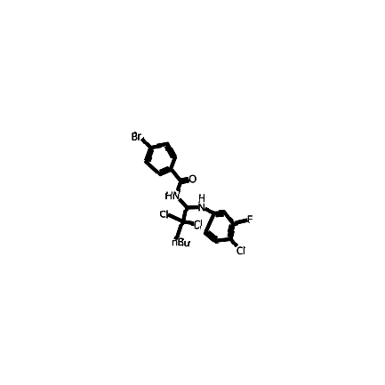 CCCCC(Cl)(Cl)C(NC(=O)c1ccc(Br)cc1)Nc1ccc(Cl)c(F)c1